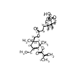 C=C(C)C(=O)OC1(C)C=C(CC)CC(C)(COC(=O)CCC(F)(F)C(F)(F)S(=O)(=O)O)C1